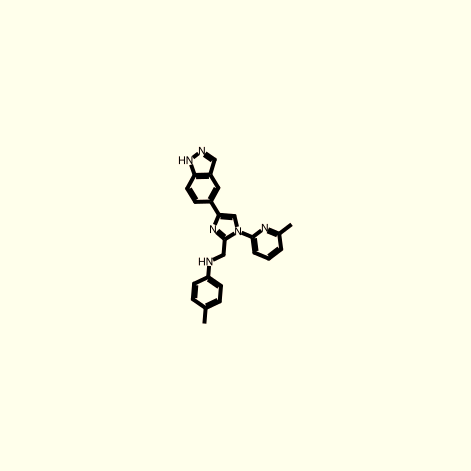 Cc1ccc(NCc2nc(-c3ccc4[nH]ncc4c3)cn2-c2cccc(C)n2)cc1